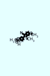 CCN1c2cc(OC)ccc2C(C#N)C1c1ccc(NS(C)(=O)=O)cc1